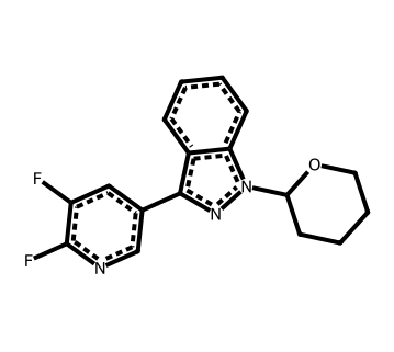 Fc1cc(-c2nn(C3CCCCO3)c3ccccc23)cnc1F